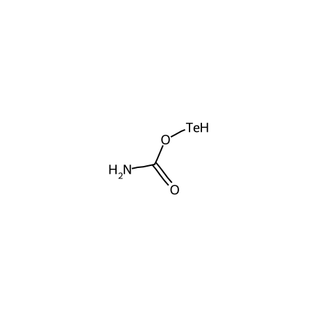 NC(=O)O[TeH]